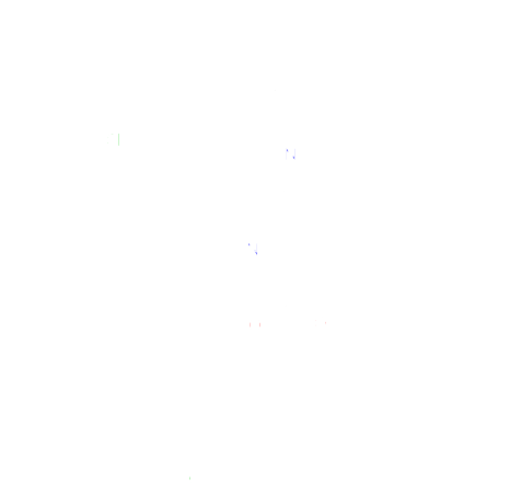 O=C(OCc1cccc(Cl)c1)c1cc2c3ccccc3n(Cc3ccccc3)c2c(-c2ccc(Cl)cc2)n1